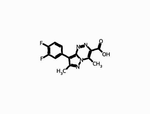 Cc1nn2c(C)c(C(=O)O)nnc2c1-c1ccc(F)c(F)c1